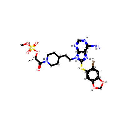 COS(=O)(=O)O[C@@H](C)C(=O)N1CCC(CCn2c(Sc3cc4c(cc3Br)OCO4)nc3c(N)ncnc32)CC1